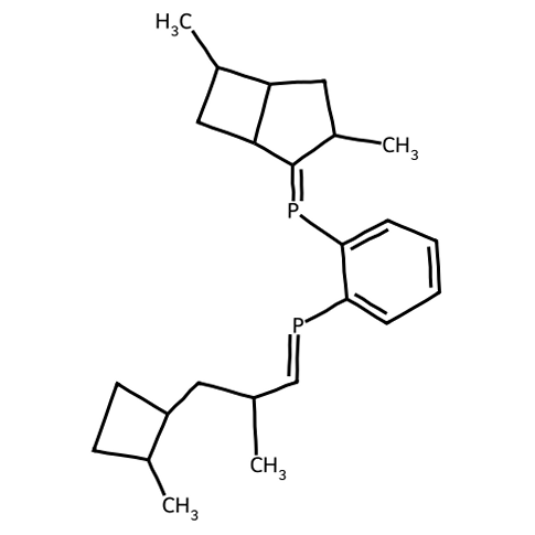 CC(/C=P/c1ccccc1/P=C1\C(C)CC2C(C)CC12)CC1CCC1C